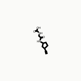 C#CC1CCC(NC(=O)CNC(=O)O)C1